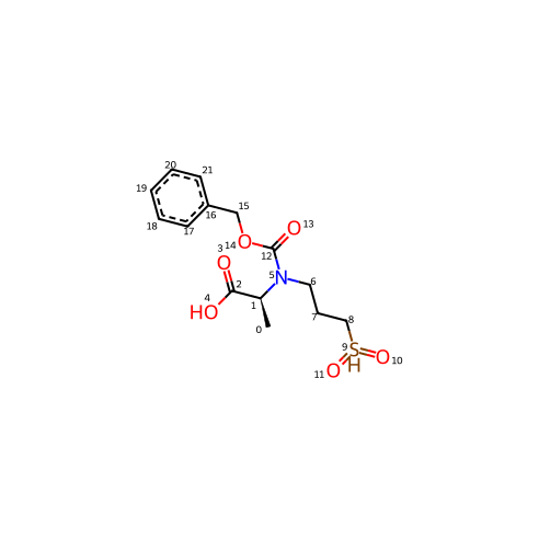 C[C@@H](C(=O)O)N(CCC[SH](=O)=O)C(=O)OCc1ccccc1